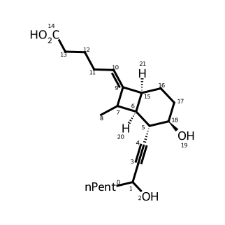 CCCCCC(O)C#C[C@@H]1[C@H]2C(C)C(=CCCCC(=O)O)[C@H]2CC[C@H]1O